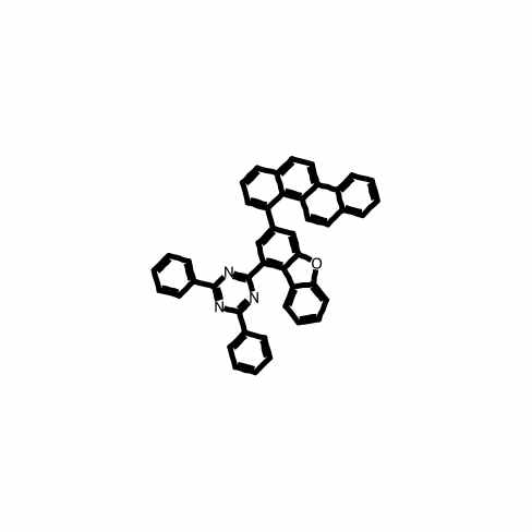 c1ccc(-c2nc(-c3ccccc3)nc(-c3cc(-c4cccc5ccc6c7ccccc7ccc6c45)cc4oc5ccccc5c34)n2)cc1